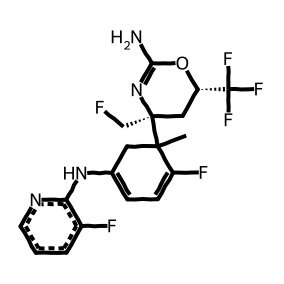 CC1([C@]2(CF)C[C@@H](C(F)(F)F)OC(N)=N2)CC(Nc2ncccc2F)=CC=C1F